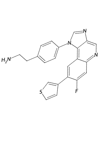 NCCc1ccc(-n2cnc3cnc4cc(F)c(-c5ccsc5)cc4c32)cc1